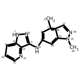 Cc1cc(Nc2n[nH]c3cccnc23)cc2c1cnn2C